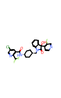 O=C(N[C@H]1CC[C@H](CN2C(=O)C(O)(c3ccncc3F)c3ccccc32)CC1)c1cc(Cl)cnc1C(F)F